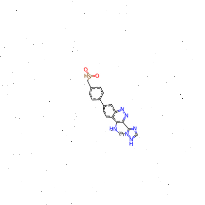 CC(C)Nc1c(-c2nc[nH]n2)nnc2cc(-c3ccc(C[SH](=O)=O)cc3)ccc12